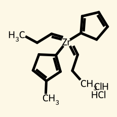 CC[CH]=[Zr](=[CH]CC)([C]1=CC=CC1)[C]1=CC(C)=CC1.Cl.Cl